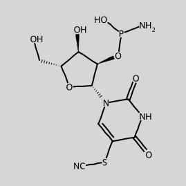 N#CSc1cn([C@@H]2O[C@H](CO)[C@@H](O)[C@H]2OP(N)O)c(=O)[nH]c1=O